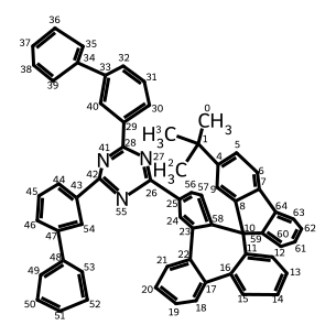 CC(C)(C)c1ccc2c(c1)C1(c3ccccc3-c3ccccc3-c3cc(-c4nc(-c5cccc(-c6ccccc6)c5)nc(-c5cccc(-c6ccccc6)c5)n4)ccc31)c1ccccc1-2